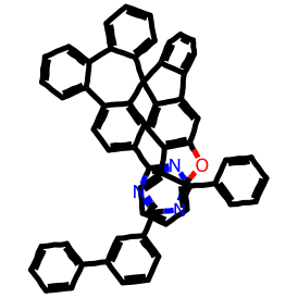 c1ccc(-c2cccc(-c3nc(-c4ccccc4)nc(-c4ccc5c(c4)C4(c6ccccc6-c6ccccc6-5)c5ccccc5-c5cc6oc7ccccc7c6cc54)n3)c2)cc1